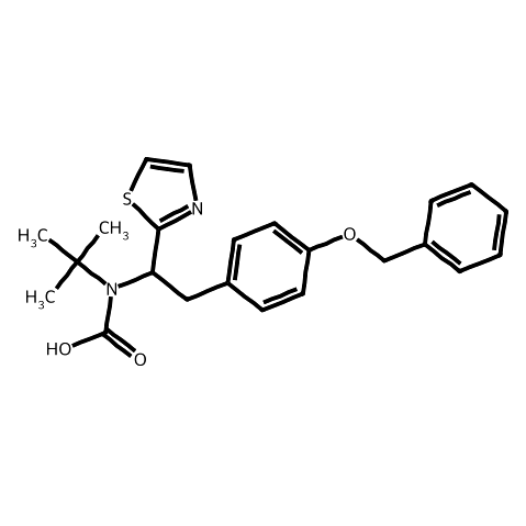 CC(C)(C)N(C(=O)O)C(Cc1ccc(OCc2ccccc2)cc1)c1nccs1